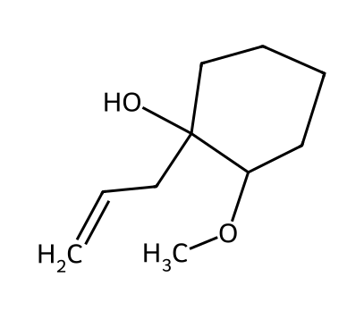 C=CCC1(O)CCCCC1OC